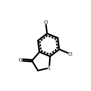 O=C1CSc2c(Cl)cc(Cl)cc21